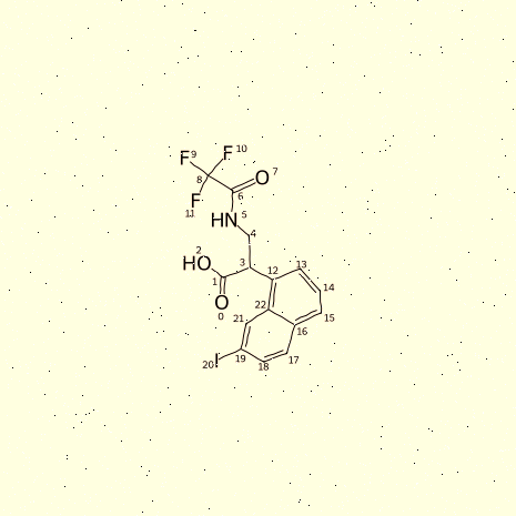 O=C(O)C(CNC(=O)C(F)(F)F)c1cccc2ccc(I)cc12